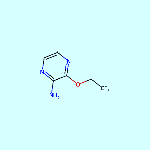 Nc1nc[c]nc1OCC(F)(F)F